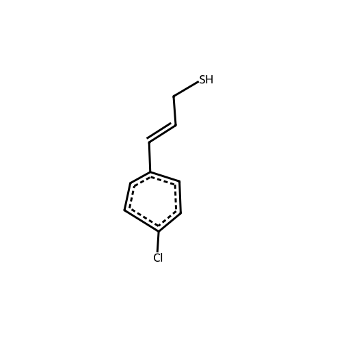 SCC=Cc1ccc(Cl)cc1